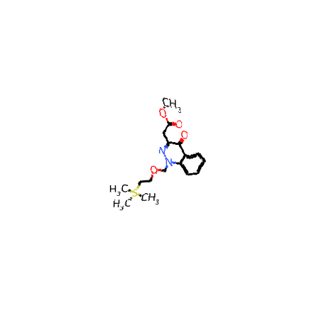 COC(=O)Cc1nn(COCCS(C)(C)C)c2ccccc2c1=O